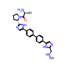 CCCNCc1ncc(-c2ccc(-c3ccc(-c4cnc([C@@H]5CCCN5C(=O)[C@@H](N)C(C)C)[nH]4)cc3)cc2)[nH]1